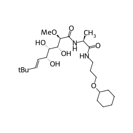 CO[C@@H](C(=O)N[C@@H](C)C(=O)NCCCOC1CCCCC1)[C@H](O)[C@@H](O)[C@H](O)/C=C/C(C)(C)C